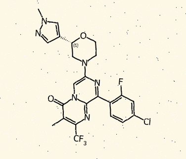 Cc1c(C(F)(F)F)nc2c(-c3ccc(Cl)cc3F)nc(N3CCO[C@@H](c4cnn(C)c4)C3)cn2c1=O